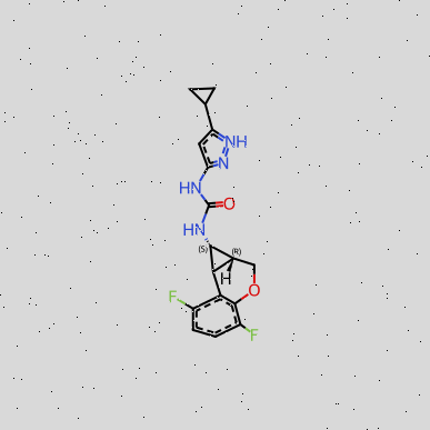 O=C(Nc1cc(C2CC2)[nH]n1)N[C@H]1C2c3c(F)ccc(F)c3OC[C@H]21